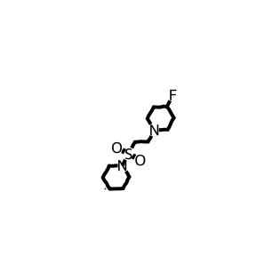 O=S(=O)(CCN1CCC(F)CC1)N1CC[CH]CC1